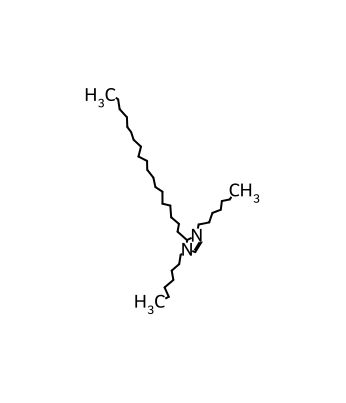 CCCCCCCCCCCCCCCCCCCC1N(CCCCCCC)C=CN1CCCCCCC